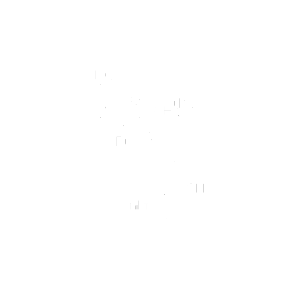 C=COC(C)(SC(CCC(C)(C)CCC)CC(C)(C)C)C(=C)CC